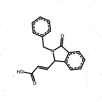 O=C(O)/C=C/C1c2ccccc2C(=O)N1Cc1ccccc1